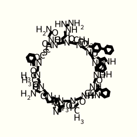 CC(C)C[C@@H]1NC(=O)[C@H](Cc2cnc[nH]2)NC(=O)[C@@H]2CCCN2C(=O)[C@H](CC(N)=O)NC(=O)[C@H](C)N(C)C(=O)[C@H](Cc2ccccc2)NC(=O)CSC[C@@H](C(=O)NCC(N)=O)NC(=O)C(CCCNC(=N)N)NC(=O)[C@H](C)N(C)C(=O)[C@H](Cc2ccc(-c3ccccc3)cc2)NC(=O)[C@H](Cc2c[nH]c3ccccc23)NC(=O)[C@H](CO)NC(=O)[C@H](Cc2c[nH]c3ccccc23)NC(=O)CNC1=O